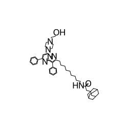 O=C(CC12CC3CC(CC(C3)C1)C2)NCCCCCCCCCc1nn2c(N3CCN(CCO)CC3)cc(-c3ccccc3)nc2c1-c1ccccc1